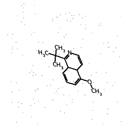 COC1=CC=CC2C(C(C)(C)C)=NC=CC12